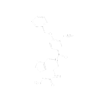 COc1cc(C(=O)N(CCNC(=O)OC(C)(C)C)Cc2cccs2)ccc1OCc1ccccc1